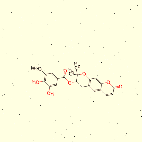 COc1cc(C(=O)O[C@H]2Cc3cc4ccc(=O)oc4cc3OC2(C)C)cc(O)c1O